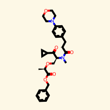 C[C@@H](OC[C@@H](C(=O)C1CC1)N(C)C(=O)[CH]Cc1ccc(N2CCOCC2)cc1)C(=O)OCc1ccccc1